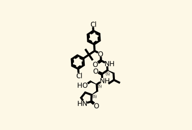 CC(C)C[C@H](NC(=O)OC(c1ccc(Cl)cc1)C(C)(C)c1cccc(Cl)c1)C(=O)N[C@H](CO)C[C@@H]1CCNC1=O